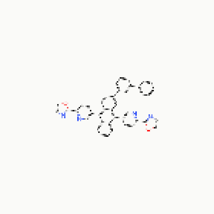 c1ccc(-c2cccc(-c3ccc4c(-c5ccc(-c6ncco6)nc5)c5ccccc5c(-c5ccc(-c6ncco6)nc5)c4c3)c2)cc1